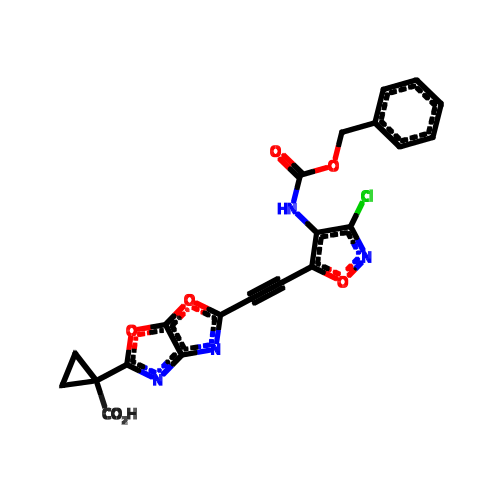 O=C(Nc1c(Cl)noc1C#Cc1nc2nc(C3(C(=O)O)CC3)oc2o1)OCc1ccccc1